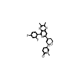 Cc1nc2cc(C3=C[C@H](c4ccc(=O)n(C)c4)OCC3)nc(-c3ccc(F)cc3F)c2nc1C